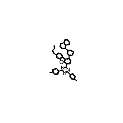 C=C/C=C\c1ccc2c(c1)oc1c(-c3nc(-c4ccc(C)cc4)nc(-c4ccc(C)cc4)n3)ccc(-c3cccc(-c4cccc5ccccc45)c3)c12